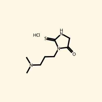 CN(C)CCCN1C(=O)CNC1=S.Cl